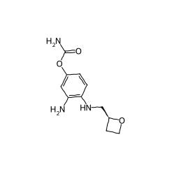 NC(=O)Oc1ccc(NC[C@@H]2CCO2)c(N)c1